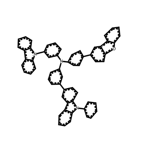 c1ccc(-n2c3ccccc3c3cc(-c4cccc(N(c5ccc(-c6ccc7oc8ccccc8c7c6)cc5)c5cccc(-n6c7ccccc7c7ccccc76)c5)c4)ccc32)cc1